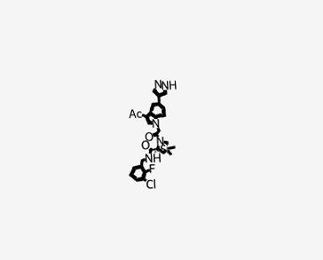 CC(=O)c1cn(CC(=O)N2C[Si](C)(C)C[C@H]2C(=O)NCc2cccc(Cl)c2F)c2ccc(-c3cn[nH]c3)cc12